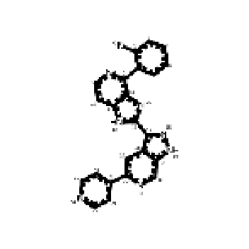 Fc1ccccc1-c1nccc2[nH]c(-c3n[nH]c4cnc(-c5ccncc5)cc34)nc12